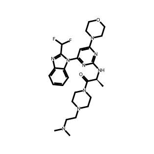 C[C@H](Nc1nc(N2CCOCC2)cc(-n2c(C(F)F)nc3ccccc32)n1)C(=O)N1CCN(CCN(C)C)CC1